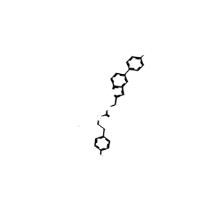 O=C(N[C@H](Cc1ccc(Cl)cc1)C(=O)O)OCc1cc2cc(-c3ccc(F)cc3)ccc2o1